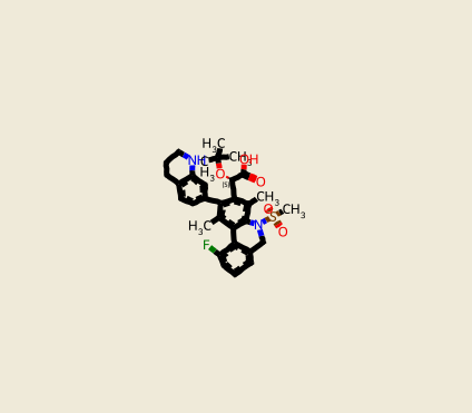 Cc1c(-c2ccc3c(c2)NCCC3)c([C@H](OC(C)(C)C)C(=O)O)c(C)c2c1-c1c(F)cccc1CN2S(C)(=O)=O